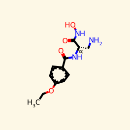 CCOc1ccc(C(=O)N[C@@H](CN)C(=O)NO)cc1